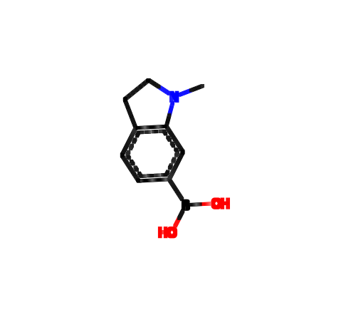 CN1CCc2ccc(B(O)O)cc21